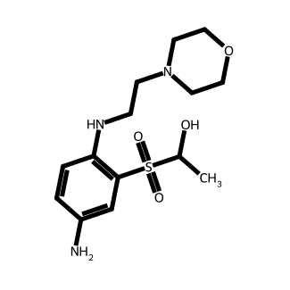 CC(O)S(=O)(=O)c1cc(N)ccc1NCCN1CCOCC1